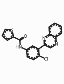 O=C(Nc1ccc(Cl)c(-c2cnc3ccccc3n2)c1)c1cccs1